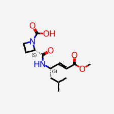 COC(=O)C=C[C@H](CC(C)C)NC(=O)[C@@H]1CCN1C(=O)O